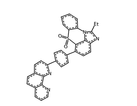 CCc1nc2ccc(-c3ccc(-c4ccc5ccc6cccnc6c5n4)cc3)c3c2n1-c1ccccc1S3(=O)=O